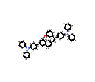 c1ccc(N(c2ccccc2)c2ccc(-c3cc4c5c(ccc6cc(-c7ccc(N(c8ccccc8)c8ccccc8)cc7)c7cccc(c7c65)O4)c3)cc2)cc1